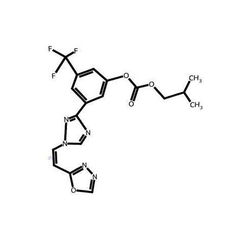 CC(C)COC(=O)Oc1cc(-c2ncn(/C=C\c3nnco3)n2)cc(C(F)(F)F)c1